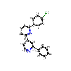 Fc1ccc(-c2cccc(-c3ccnc(-c4ccccc4)c3)n2)cc1